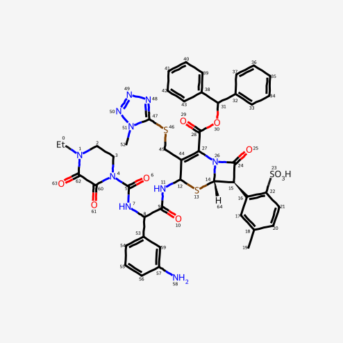 CCN1CCN(C(=O)NC(C(=O)NC2S[C@H]3[C@H](c4cc(C)ccc4S(=O)(=O)O)C(=O)N3C(C(=O)OC(c3ccccc3)c3ccccc3)=C2CSc2nnnn2C)c2cccc(N)c2)C(=O)C1=O